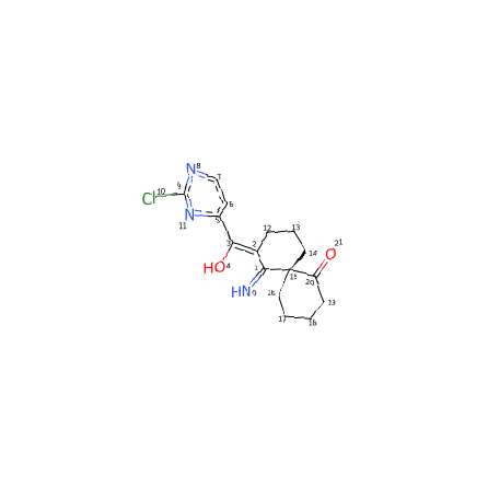 N=C1/C(=C(\O)c2ccnc(Cl)n2)CCC[C@@]12CCCCC2=O